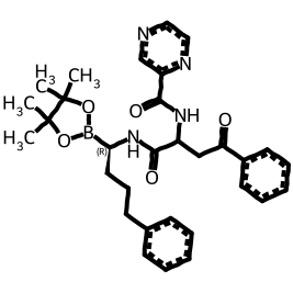 CC1(C)OB([C@H](CCCc2ccccc2)NC(=O)C(CC(=O)c2ccccc2)NC(=O)c2cnccn2)OC1(C)C